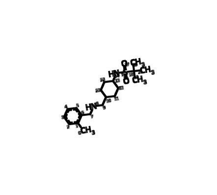 Cc1ccccc1CNCC1CCC(NS(=O)(=O)C(C)(C)C)CC1